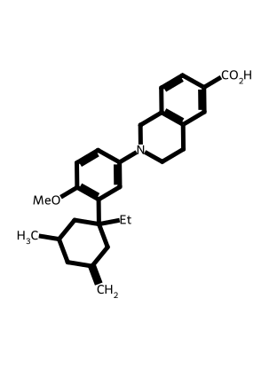 C=C1CC(C)CC(CC)(c2cc(N3CCc4cc(C(=O)O)ccc4C3)ccc2OC)C1